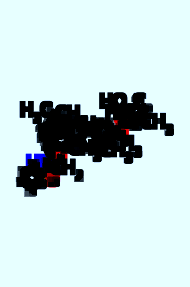 C=C(C)[C@@H]1CC[C@]2(CC(=O)NS(=C)(=O)c3ccccc3)CC[C@]3(C)[C@H](CC[C@@H]4[C@@]5(C)CC[C@H](OC(=O)CC(C)(C)CC(=O)O)C(C)(C)[C@@H]5CC[C@]43C)[C@@H]12